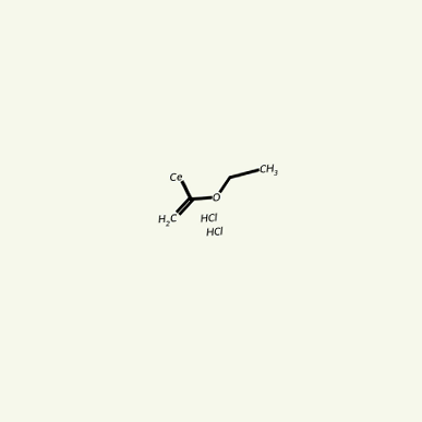 C=[C]([Ce])OCC.Cl.Cl